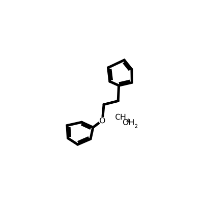 C.O.c1ccc(CCOc2ccccc2)cc1